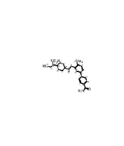 COc1ccc(-c2ccc(C(N)=O)cc2)cc1CNC1CCC(N(CC(C)(C)C)C(=O)O)CC1